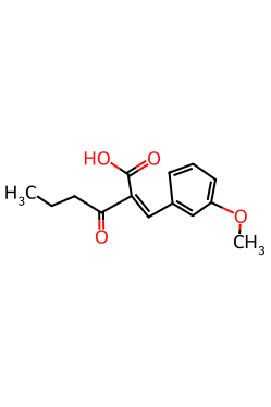 CCCC(=O)C(=Cc1cccc(OC)c1)C(=O)O